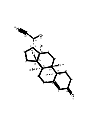 C[C@]12CC[C@H]3[C@@H](CCC4=CC(=O)CC[C@@]43C)[C@@H]1CC[C@@H]2C(O)C#N